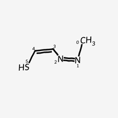 C/N=N\C=C/S